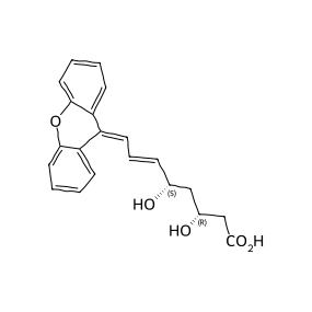 O=C(O)C[C@H](O)C[C@H](O)C=CC=C1c2ccccc2Oc2ccccc21